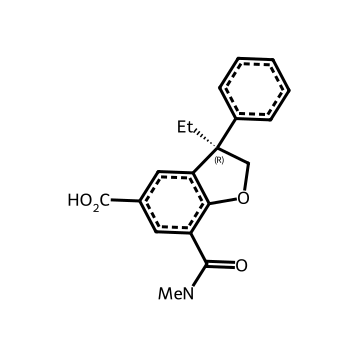 CC[C@]1(c2ccccc2)COc2c(C(=O)NC)cc(C(=O)O)cc21